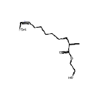 CCCCCCCC/C=C\CCCCCCC(C)C(=O)OCCO